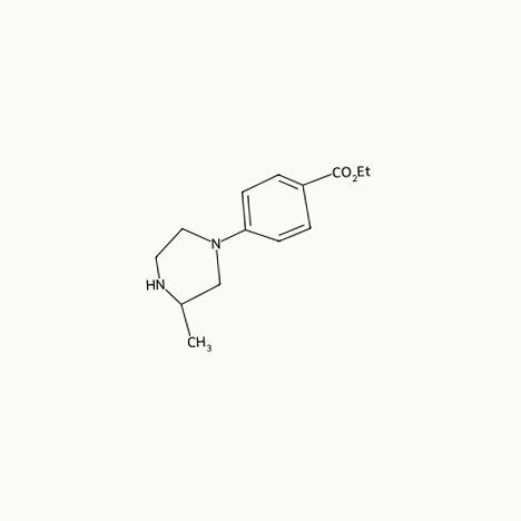 CCOC(=O)c1ccc(N2CCNC(C)C2)cc1